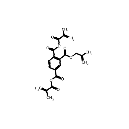 C=C(C)COC(=O)c1cc(C(=O)OC(=O)C(=C)C)ccc1C(=O)OC(=O)C(=C)C